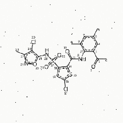 CC(=O)c1cc(C)cc(C)c1NC(=O)c1sc(Cl)cc1S(=O)(=O)Nc1onc(C)c1Cl